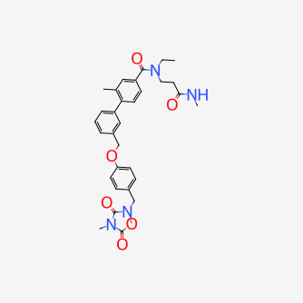 CCN(CCC(=O)NC)C(=O)c1ccc(-c2cccc(COc3ccc(Cn4oc(=O)n(C)c4=O)cc3)c2)c(C)c1